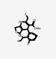 COC(=O)C1=C(CF)NC2=C(C(=O)OC2)C1c1cccc(F)c1C(F)CF